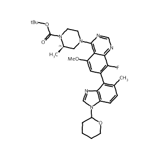 COc1cc(-c2c(C)ccc3c2ncn3C2CCCCO2)c(F)c2ncnc(N3CCN(C(=O)OC(C)(C)C)[C@H](C)C3)c12